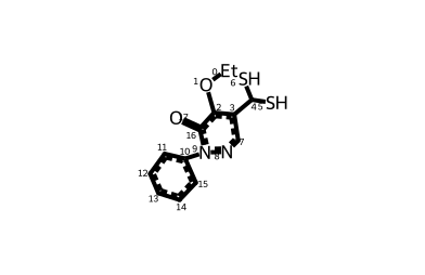 CCOc1c(C(S)S)cnn(-c2ccccc2)c1=O